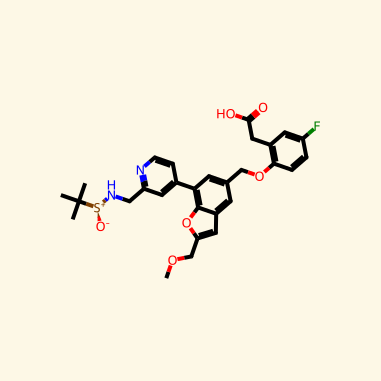 COCc1cc2cc(COc3ccc(F)cc3CC(=O)O)cc(-c3ccnc(CN[S@@+]([O-])C(C)(C)C)c3)c2o1